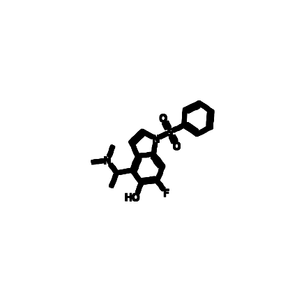 CC(c1c(O)c(F)cc2c1ccn2S(=O)(=O)c1ccccc1)N(C)C